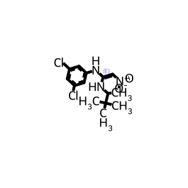 CC(N/C(=C\[N+](=O)[O-])Nc1cc(Cl)cc(Cl)c1)C(C)(C)C